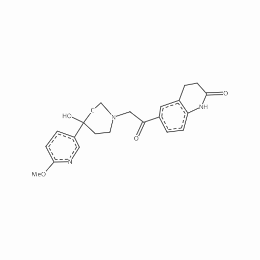 COc1ccc(C2(O)CCN(CC(=O)c3ccc4c(c3)CCC(=O)N4)CC2)cn1